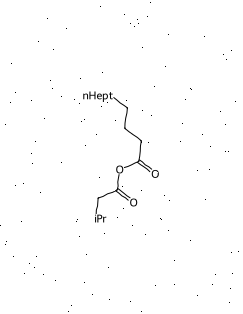 CCCCCCCCCCC(=O)OC(=O)CC(C)C